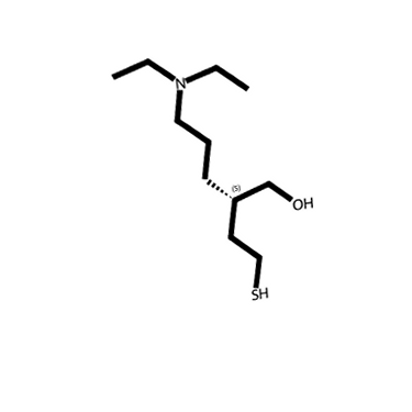 CCN(CC)CCC[C@H](CO)CCS